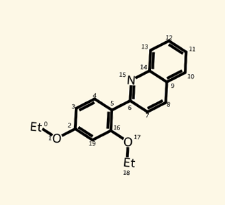 CCOc1ccc(-c2ccc3ccccc3n2)c(OCC)c1